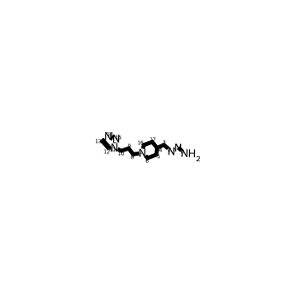 NN=NCC1CCN(CCCn2ccnn2)CC1